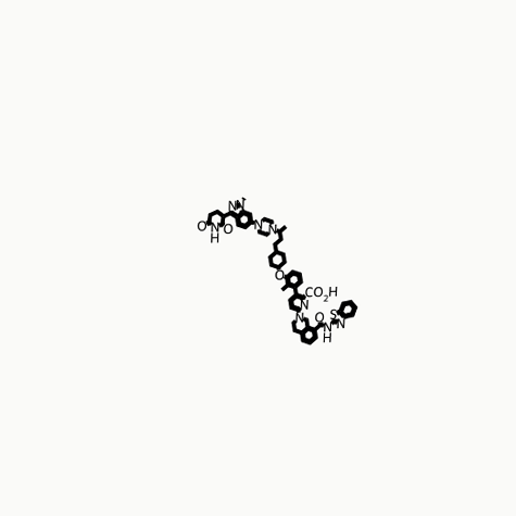 Cc1c(OC2CCC(CCC(C)N3CCN(c4ccc5c(C6CCC(=O)NC6=O)nn(C)c5c4)CC3)CC2)cccc1-c1ccc(N2CCc3cccc(C(=O)Nc4nc5ccccc5s4)c3C2)nc1C(=O)O